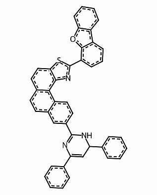 C1=C(c2ccccc2)N=C(c2ccc3c(ccc4ccc5sc(-c6cccc7c6oc6ccccc67)nc5c43)c2)NC1c1ccccc1